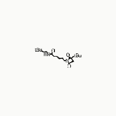 CC(C)(C)CCNC(=O)CCCCCN1C(=O)CC(C(C)(C)C)C1=O